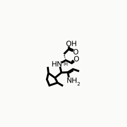 CC=C(N)C(N[C@@H](C=O)CC(=O)O)C1C(C)CCC1C